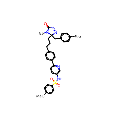 CCN1C(=O)N=NC1(CCCc1ccc(-c2ccc(NS(=O)(=O)c3ccc(OC)cc3)cn2)cc1)Cc1ccc(C(C)(C)C)cc1